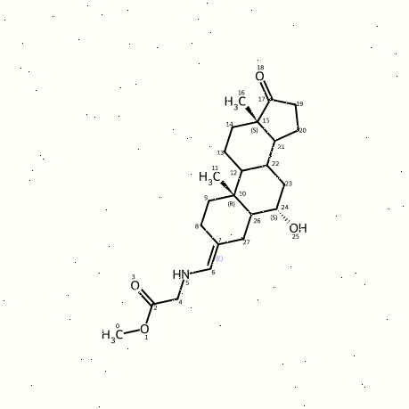 COC(=O)CN/C=C1\CC[C@]2(C)C3CC[C@]4(C)C(=O)CCC4C3C[C@H](O)C2C1